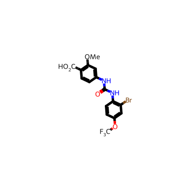 COc1cc(NC(=O)Nc2ccc(OC(F)(F)F)cc2Br)ccc1C(=O)O